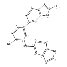 Cc1cc2ccc(-c3ncc(C#N)c(Nc4ccc5[nH]ncc5c4)n3)cc2[nH]1